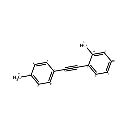 Cc1ccc(C#Cc2ccccc2O)cc1